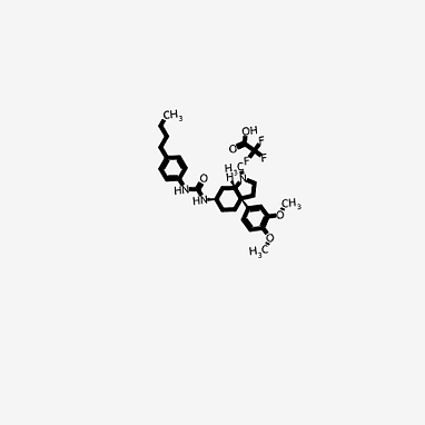 CCCCc1ccc(NC(=O)N[C@@H]2CC[C@@]3(c4ccc(OC)c(OC)c4)CCN(C)[C@H]3C2)cc1.O=C(O)C(F)(F)F